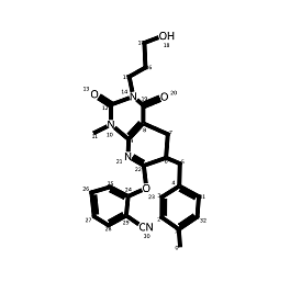 Cc1ccc(CC2Cc3c(n(C)c(=O)n(CCCO)c3=O)N=C2Oc2ccccc2C#N)cc1